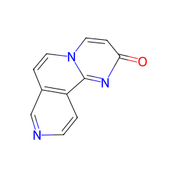 O=c1ccn2ccc3cnccc3c2n1